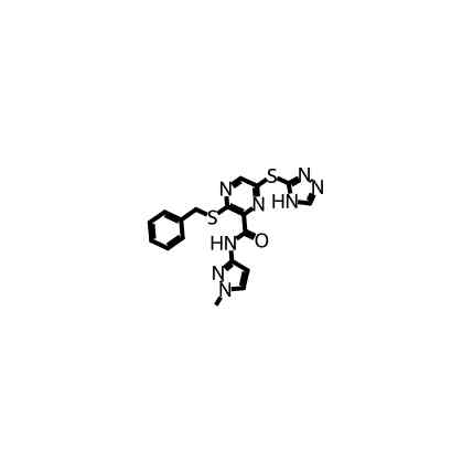 Cn1ccc(NC(=O)c2nc(Sc3nnc[nH]3)cnc2SCc2ccccc2)n1